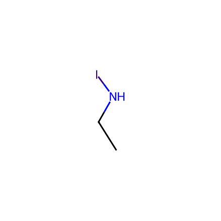 CCNI